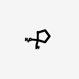 CC(C)C1(C)CCCS1